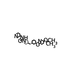 CC(C)Oc1ccc(Oc2cccc(C=C3CCN(C(=O)Nc4cccnc4)CC3)c2)nc1